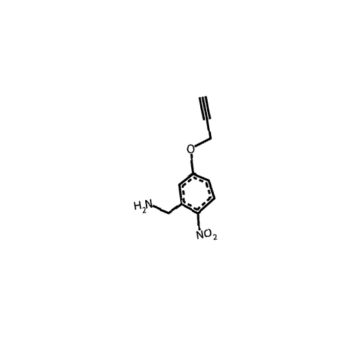 C#CCOc1ccc([N+](=O)[O-])c(CN)c1